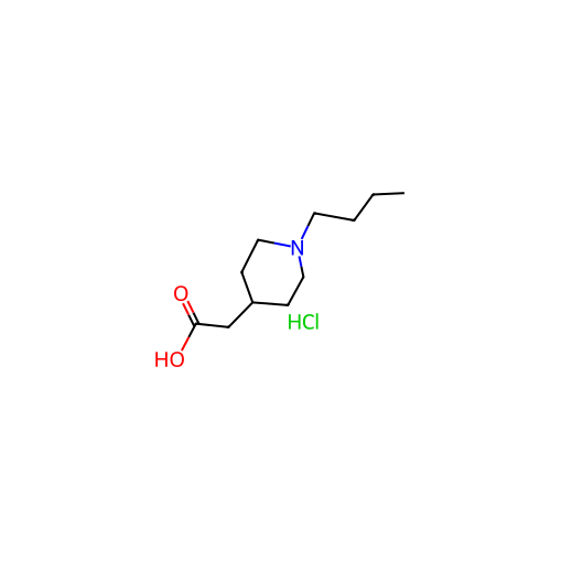 CCCCN1CCC(CC(=O)O)CC1.Cl